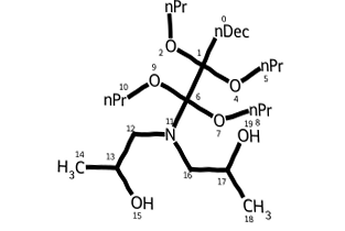 CCCCCCCCCCC(OCCC)(OCCC)C(OCCC)(OCCC)N(CC(C)O)CC(C)O